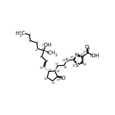 CCCCC[C@](C)(O)CC=C[C@H]1CCC(=O)[C@@H]1CCSc1nc(C(=O)O)cs1